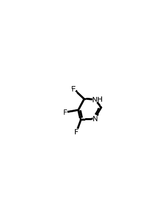 FC1=C(F)C(F)NC=N1